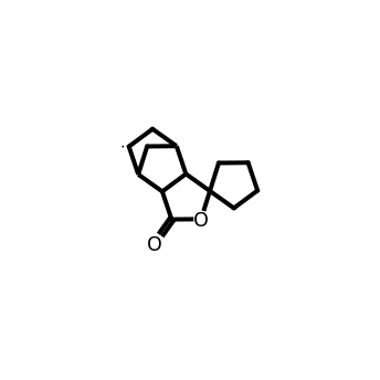 O=C1OC2(CCCC2)C2C3C[CH]C(C3)C12